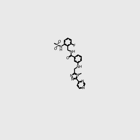 Cn1c(CNc2cccc(C(=O)NCc3c(F)cccc3NS(C)(=O)=O)c2)nnc1-c1ccncn1